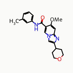 COc1cc2nc(C3CCOCC3)cn2cc1C(=O)Nc1cccc(C)c1